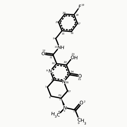 CC(=O)N(C)[C@H]1CCc2nc(C(=O)NCc3ccc(F)cc3)c(O)c(=O)n2C1